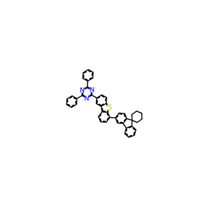 c1ccc(-c2nc(-c3ccccc3)nc(-c3ccc4sc5c(-c6ccc7c(c6)-c6ccccc6C76CCCCC6)cccc5c4c3)n2)cc1